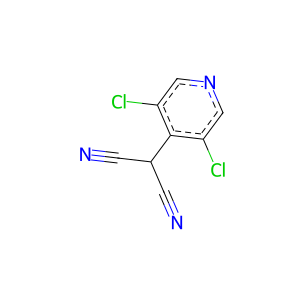 N#CC(C#N)c1c(Cl)cncc1Cl